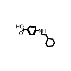 O=C(O)c1ccc(NCCC2CCCCC2)cc1